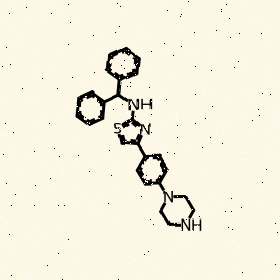 c1ccc(C(Nc2nc(-c3ccc(N4CCNCC4)cc3)cs2)c2ccccc2)cc1